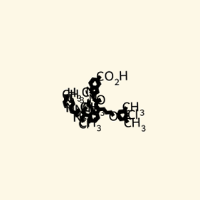 Cc1cc(OCCCc2c3n(c4c(-c5c(C)nc(CN6CCN(C)CC6)nc5C)c(Cl)ccc24)[C@H](C)CN(c2cc4cc(C(=O)O)ccc4n2C)C3=O)cc(C)c1Cl